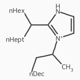 CCCCCCCCCCCC(C)[n+]1cc[nH]c1C(CCCCCC)CCCCCCC